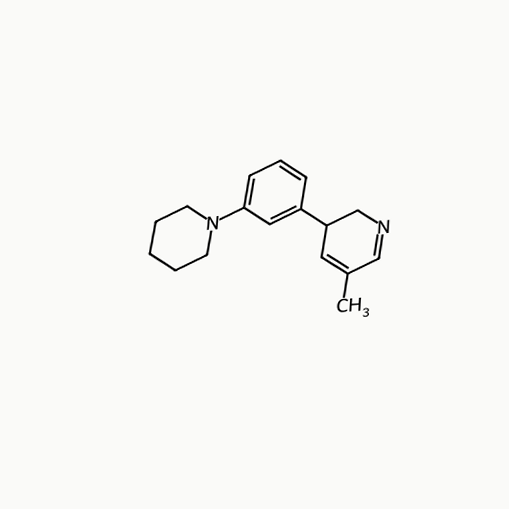 CC1=CC(c2cccc(N3CCCCC3)c2)CN=C1